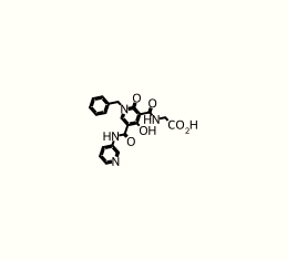 O=C(O)CNC(=O)c1c(O)c(C(=O)Nc2cccnc2)cn(Cc2ccccc2)c1=O